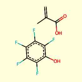 C=C(C)C(=O)O.Oc1c(F)c(F)c(F)c(F)c1F